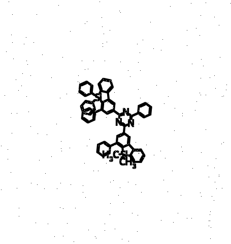 C[Si]1(C)c2ccccc2-c2cc(-c3nc(-c4ccccc4)nc(-c4cc(-c5ccccc5)c5c(c4)-c4ccccc4[Si]5(c4ccccc4)c4ccccc4)n3)cc(-c3ccccc3)c21